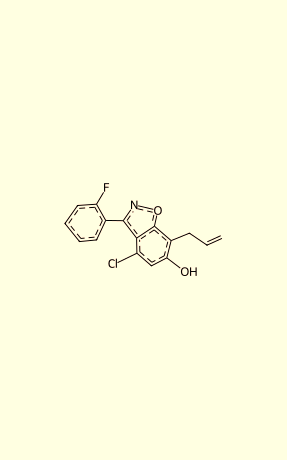 C=CCc1c(O)cc(Cl)c2c(-c3ccccc3F)noc12